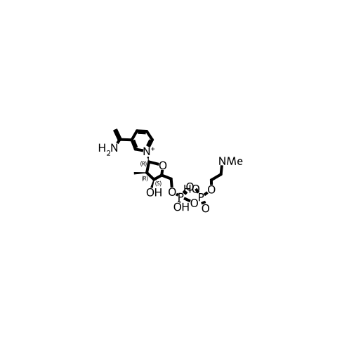 C=C(N)c1ccc[n+]([C@@H]2OC(COP(=O)(O)OP(=O)(O)OCCNC)[C@@H](O)[C@H]2C)c1